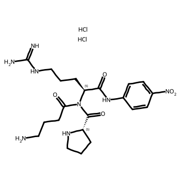 Cl.Cl.N=C(N)NCCC[C@@H](C(=O)Nc1ccc([N+](=O)[O-])cc1)N(C(=O)CCCN)C(=O)[C@@H]1CCCN1